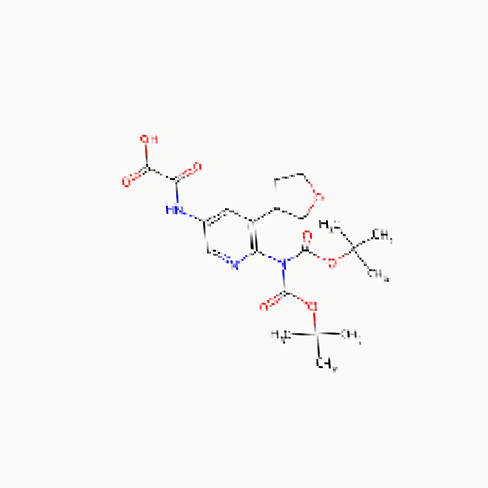 CC(C)(C)OC(=O)N(C(=O)OC(C)(C)C)c1ncc(NC(=O)C(=O)O)cc1C1CCOC1